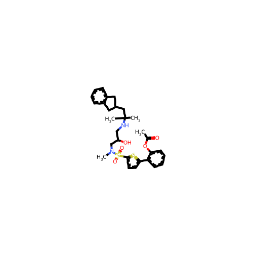 CC(=O)Oc1ccccc1-c1ccc(S(=O)(=O)N(C)CC(O)CNC(C)(C)CC2Cc3ccccc3C2)s1